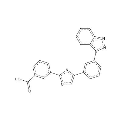 O=C(O)c1cccc(-c2nc(-c3cccc(-n4nnc5ccccc54)c3)co2)c1